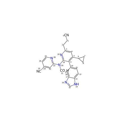 N#CCCc1cc(C2CC2)c(-c2ccc3[nH]cnc3c2)c(N(C(=O)O)c2cc(C#N)ccn2)n1